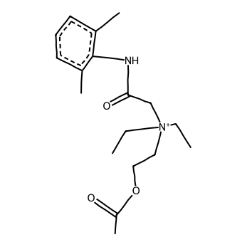 CC[N+](CC)(CCOC(C)=O)CC(=O)Nc1c(C)cccc1C